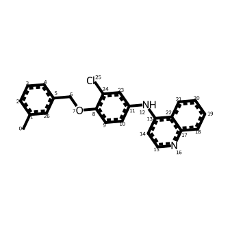 Cc1cccc(COc2ccc(Nc3ccnc4ccccc34)cc2Cl)c1